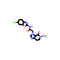 Cn1ccc2ncn(CC(=O)Nc3nc4ccc(Cl)cc4o3)c2c1=O